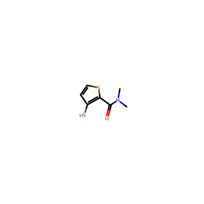 CN(C)C(=O)c1sccc1S